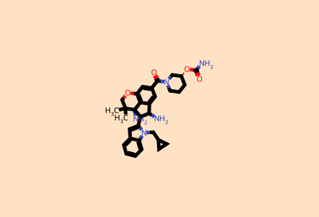 CC1(C)COc2cc(C(=O)N3CCC[C@@H](OC(N)=O)C3)cc3c2C1(N)C(c1cc2ccccc2n1CC1CC1)C3N